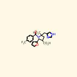 O=C(O)C1CC(Cc2c[nH]cn2)(C(=O)O)N(C(=O)c2ccc(C(F)(F)F)cc2)C1c1ccco1